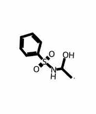 [CH2]C(O)NS(=O)(=O)c1ccccc1